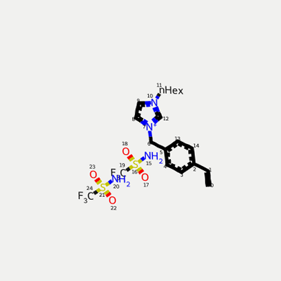 C=Cc1ccc(C[n+]2ccn(CCCCCC)c2)cc1.NS(=O)(=O)C(F)(F)F.NS(=O)(=O)C(F)(F)F